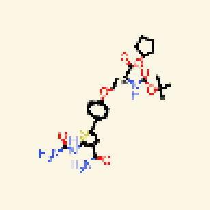 CC(C)(C)OC(=O)N[C@H](CCOc1ccc(-c2cc(C(N)=O)c(NC(N)=O)s2)cc1)C(=O)OC1CCCC1